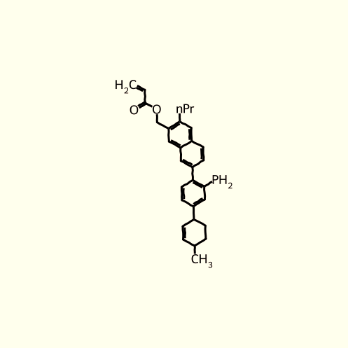 C=CC(=O)OCc1cc2cc(-c3ccc(C4C=CC(C)CC4)cc3P)ccc2cc1CCC